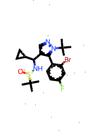 CC(C)(C)n1ncc(C(N[S+]([O-])C(C)(C)C)C2CC2)c1-c1ccc(F)cc1Br